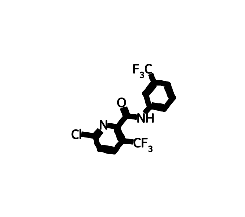 O=C(Nc1cccc(C(F)(F)F)c1)c1nc(Cl)ccc1C(F)(F)F